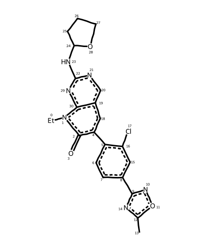 CCn1c(=O)c(-c2ccc(-c3noc(C)n3)cc2Cl)cc2cnc(NC3CCCO3)nc21